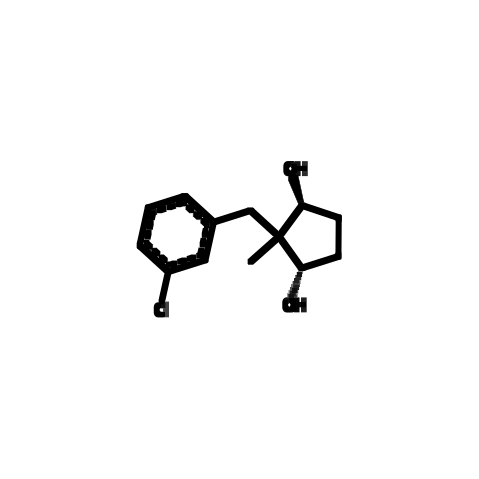 CC1(Cc2cccc(Cl)c2)[C@@H](O)CC[C@@H]1O